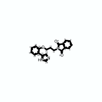 O=C1c2ccccc2C(=O)N1CCCOc1ccccc1-c1cnc[nH]1